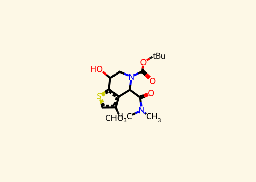 CN(C)C(=O)C1c2c(C=O)csc2C(O)CN1C(=O)OC(C)(C)C